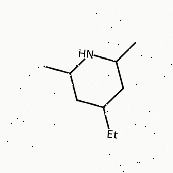 CCC1CC(C)NC(C)C1